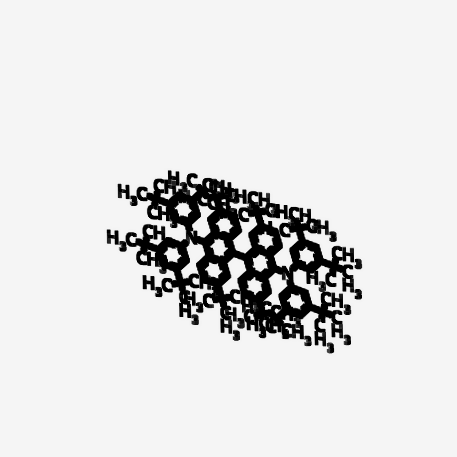 CC(C)(C)c1cc(N(c2cc(C(C)(C)C)cc(C(C)(C)C)c2)c2c3ccc(C(C)(C)C)cc3c(-c3c4cc(C(C)(C)C)ccc4c(N(c4cc(C(C)(C)C)cc(C(C)(C)C)c4)c4cc(C(C)(C)C)cc(C(C)(C)C)c4)c4cc(C(C)(C)C)ccc34)c3ccc(C(C)(C)C)cc23)cc(C(C)(C)C)c1